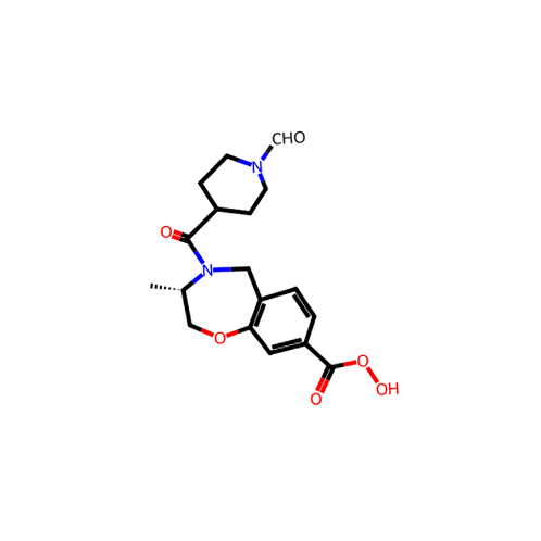 C[C@H]1COc2cc(C(=O)OO)ccc2CN1C(=O)C1CCN(C=O)CC1